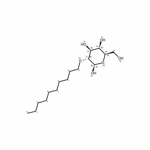 CCCCCCCCCCO[C@@H]1[C@@H](O)[C@@H](O)[C@@H](CO)O[C@H]1O